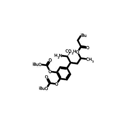 CCC(C)CC(=O)OC(C)CC(c1ccc(OC(=O)OCC(C)C)c(OC(=O)OCC(C)C)c1)[C@H](N)C(=O)O